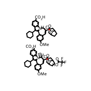 COc1ccc2c(c1)C=C(C(=O)N1C3CCC1CN(C)C3)C(C(C)(C)C)n1c-2c(C2CCCCC2)c2ccc(C(=O)O)cc21.COc1ccc2c(c1)C=C(C(=O)N1C3CCC1CN(C)C3)Cn1c-2c(C2CCCCC2)c2ccc(C(=O)O)cc21.O=C(O)C(F)(F)F